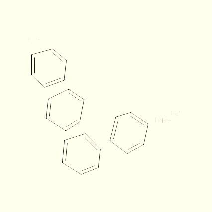 Br.Br.Br.Br.c1ccccc1.c1ccccc1.c1ccccc1.c1ccccc1